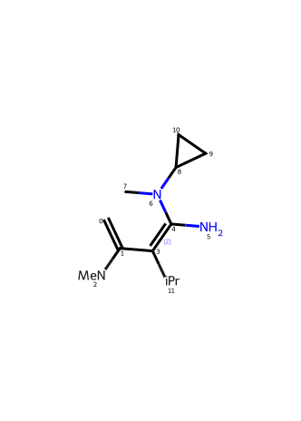 C=C(NC)/C(=C(/N)N(C)C1CC1)C(C)C